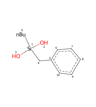 CCCC[Si](O)(O)Cc1ccccc1